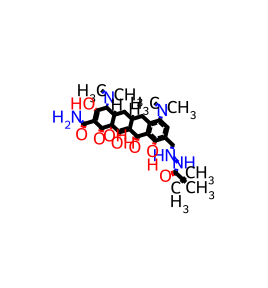 CN(C)c1cc(CNNC(=O)C(C)(C)C)c(O)c2c1C[C@H]1C[C@H]3[C@H](N(C)C)C(O)=C(C(N)=O)C(=O)[C@@]3(O)C(O)=C1C2=O